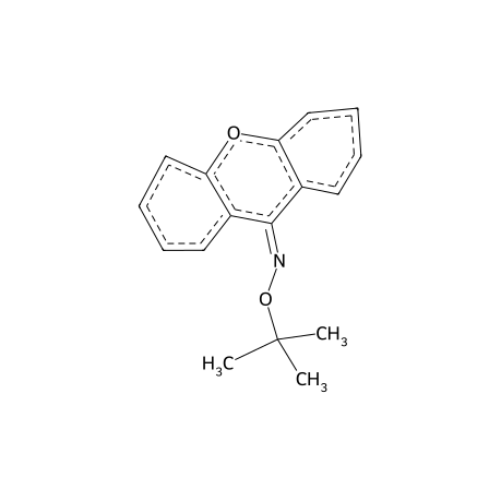 CC(C)(C)ON=c1c2ccccc2oc2ccccc12